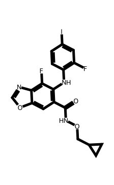 O=C(NOCC1CC1)c1cc2ocnc2c(F)c1Nc1ccc(I)cc1F